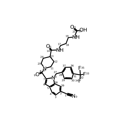 N#Cc1ccc2cc(C(=O)N3CCC(C(=O)NCCCNC(=O)O)CC3)n(Cc3ccc(C(F)(F)F)cc3)c2c1